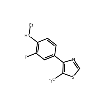 CCNc1ccc(-c2n[c]sc2C(F)(F)F)cc1F